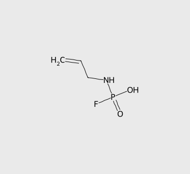 C=CCNP(=O)(O)F